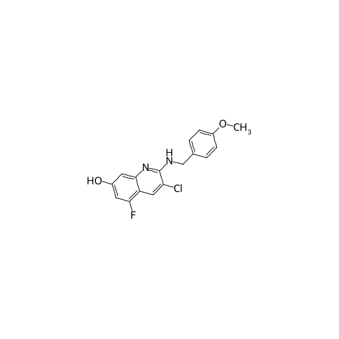 COc1ccc(CNc2nc3cc(O)cc(F)c3cc2Cl)cc1